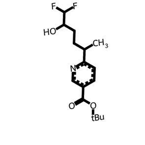 CC(CCC(O)C(F)F)c1ccc(C(=O)OC(C)(C)C)cn1